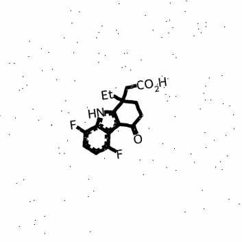 CCC1(CC(=O)O)CCC(=O)c2c1[nH]c1c(F)ccc(F)c21